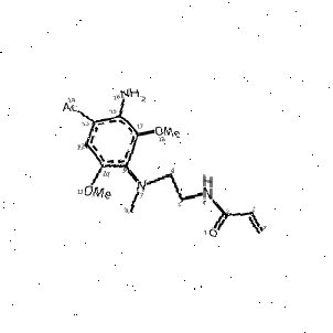 C=CC(=O)NCCN(C)c1c(OC)cc(C(C)=O)c(N)c1OC